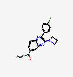 COC(=O)c1ccc2nc(-c3ccc(F)cc3)c(N3CCC3)nc2c1